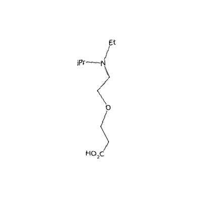 CCN(CCOCCC(=O)O)C(C)C